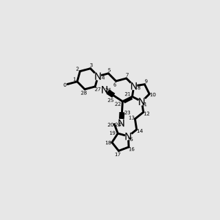 CC1CCN(CCCN2CCN(CCCN3CCCC3C)C2=C(C#N)C#N)CC1